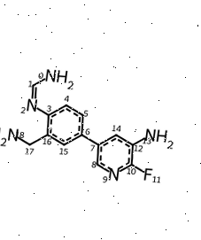 N/C=N\c1ccc(-c2cnc(F)c(N)c2)cc1CN